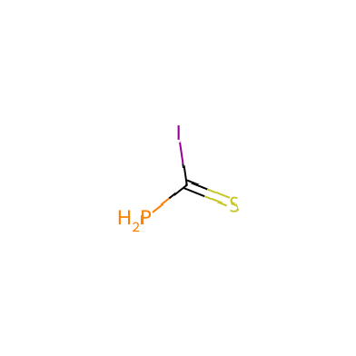 PC(=S)I